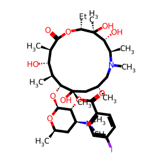 CC[C@H]1OC(=O)[C@H](C)[C@@H](O)[C@H](C)[C@@H](O[C@@H]2O[C@H](C)C[C@H](N(C)C)[C@H]2OC(=O)c2ccc(I)cc2)[C@@](C)(O)C[C@@H](C)CN(C)[C@H](C)[C@@H](O)[C@]1(C)O